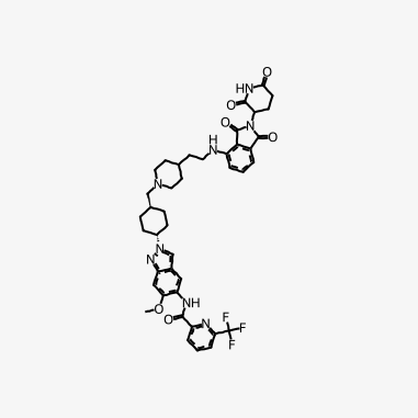 COc1cc2nn([C@H]3CC[C@H](CN4CCC(CCNc5cccc6c5C(=O)N(C5CCC(=O)NC5=O)C6=O)CC4)CC3)cc2cc1NC(=O)c1cccc(C(F)(F)F)n1